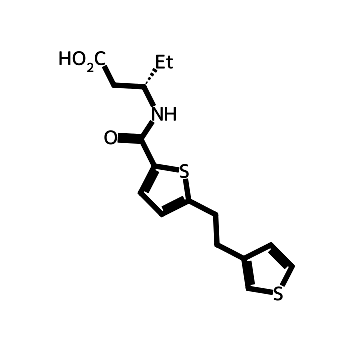 CC[C@@H](CC(=O)O)NC(=O)c1ccc(CCc2ccsc2)s1